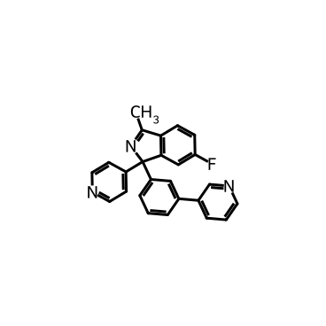 CC1=NC(c2ccncc2)(c2cccc(-c3cccnc3)c2)c2cc(F)ccc21